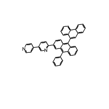 c1ccc(-c2c3ccccc3c(-c3cc4ccccc4c4ccccc34)c3ccc(-c4ccc(-c5ccncc5)cn4)cc23)cc1